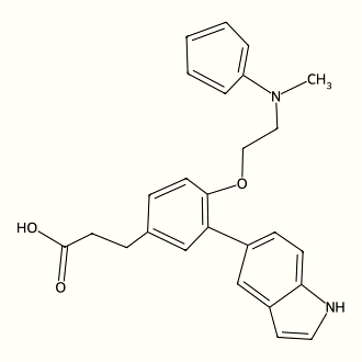 CN(CCOc1ccc(CCC(=O)O)cc1-c1ccc2[nH]ccc2c1)c1ccccc1